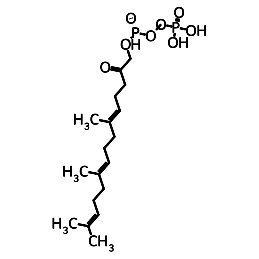 CC(C)=CCC/C(C)=C/CC/C(C)=C/CCC(=O)CO[PH](=O)OOP(=O)(O)O